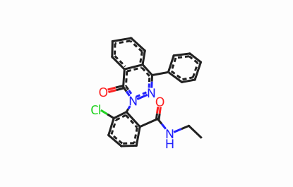 CCNC(=O)c1cccc(Cl)c1-n1nc(-c2ccccc2)c2ccccc2c1=O